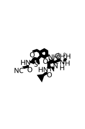 [2H]C([2H])([2H])NC(=O)c1nnc(NC(=O)C2CC2)cc1Nc1ccc2c(c1OC)-c1csc(NC(=O)CC#N)c1OCC2